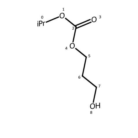 CC(C)OC(=O)OCCCO